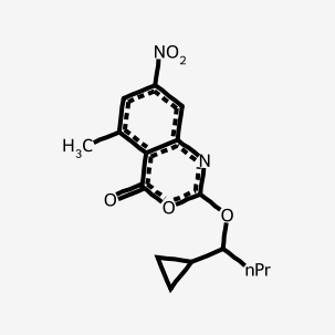 CCCC(Oc1nc2cc([N+](=O)[O-])cc(C)c2c(=O)o1)C1CC1